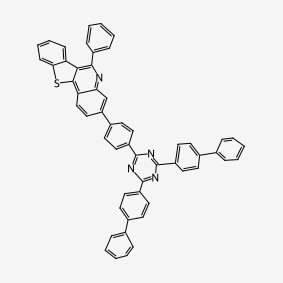 c1ccc(-c2ccc(-c3nc(-c4ccc(-c5ccccc5)cc4)nc(-c4ccc(-c5ccc6c(c5)nc(-c5ccccc5)c5c7ccccc7sc65)cc4)n3)cc2)cc1